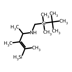 CC([SiH3])=C(C)C(C)NC[Si](C)(C)C(C)(C)C